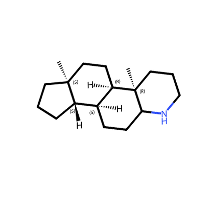 C[C@@]12CCC[C@H]1[C@@H]1CCC3NCCC[C@]3(C)[C@@H]1CC2